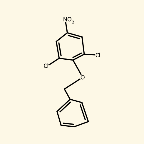 O=[N+]([O-])c1cc(Cl)c(OCc2ccccc2)c(Cl)c1